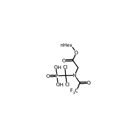 CCCCCCOC(=O)CN(C(=O)C(F)(F)F)C(Cl)(Cl)P(=O)(O)O